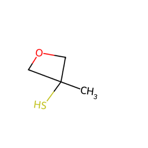 CC1(S)COC1